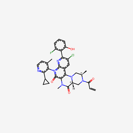 C=CC(=O)N1C[C@@H]2C(=O)N(C)c3c(c4cc(Cl)c(-c5c(O)cccc5F)nc4n(-c4c(C)ccnc4C4CC4)c3=O)N2C[C@H]1C